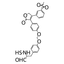 CS(=O)(=O)c1cccc(C2=C(c3ccc(OCOc4ccc(CC(C=O)NS)cc4)cc3)C(=O)OC2)c1